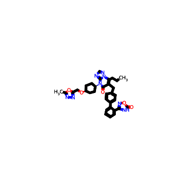 CCCc1c(Cc2ccc(-c3ccccc3-c3noc(=O)[nH]3)cc2)c(=O)n([C@H]2CC[C@H](OCc3nnc(C)o3)CC2)c2ncnn12